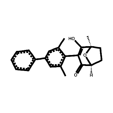 Cc1cc(-c2ccccc2)cc(C)c1C1=C(O)[C@@]2(C)CC[C@H](O2)C1=O